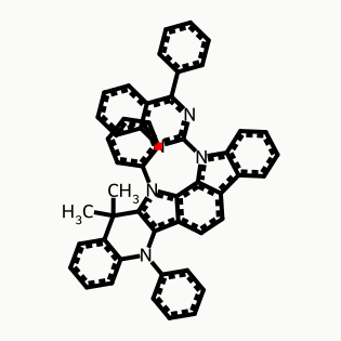 CC1(C)c2ccccc2N(c2ccccc2)c2c1n(-c1ccccc1)c1c2ccc2c3ccccc3n(-c3nc(-c4ccccc4)c4ccccc4n3)c21